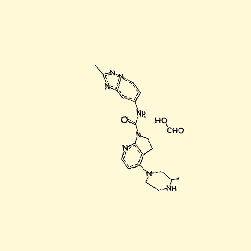 Cc1nc2cc(NC(=O)N3CCc4c(N5CCN[C@H](C)C5)ccnc43)ccn2n1.O=CO